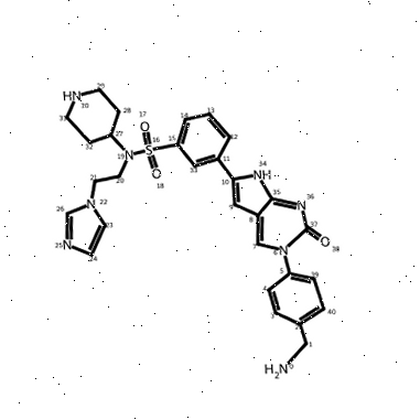 NCc1ccc(-n2cc3cc(-c4cccc(S(=O)(=O)N(CCn5ccnc5)C5CCNCC5)c4)[nH]c3nc2=O)cc1